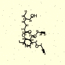 C#CCOCc1cnc(C)c(OC(=O)CCCC(CC)CO)c1COCC#C